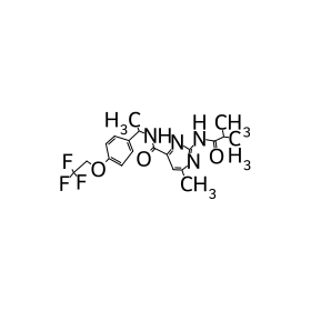 Cc1cc(C(=O)NC(C)c2ccc(OCC(F)(F)F)cc2)nc(NC(=O)C(C)C)n1